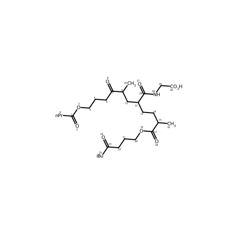 CCCC(=O)OCCCC(=O)C(C)CC(CCC(C)C(=O)OCCCC(=O)C(C)CC)C(=O)NCC(=O)O